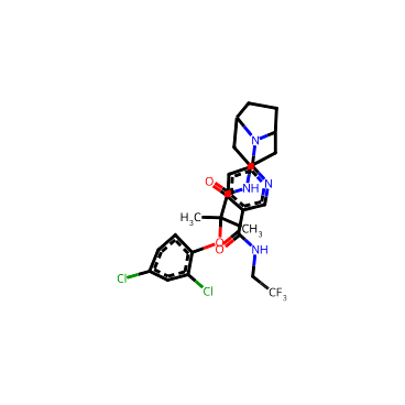 CC(C)(Oc1ccc(Cl)cc1Cl)C(=O)NC1CC2CCC(C1)N2c1ccc(C(=O)NCC(F)(F)F)cn1